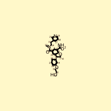 C[C@H]1Oc2c(C(N)=O)cc(C(=O)N(C)CCc3cccnc3)cc2[C@@H]1c1cccc(OCCO)c1